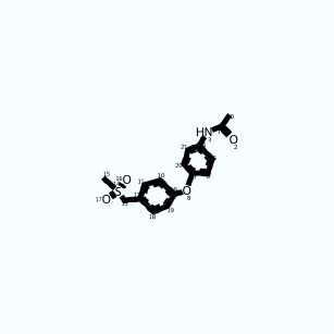 CC(=O)Nc1ccc(Oc2ccc(CS(C)(=O)=O)cc2)cc1